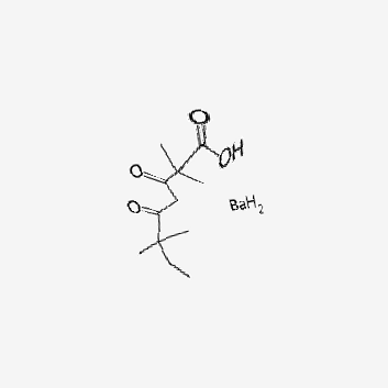 CCC(C)(C)C(=O)CC(=O)C(C)(C)C(=O)O.[BaH2]